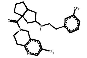 O=C(N1CCc2ncc(C(F)(F)F)cc2C1)C12CCCC1CC(NCCc1cccc(C(F)(F)F)c1)C2